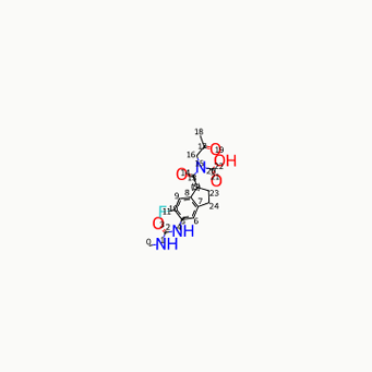 CNC(=O)Nc1cc2c(cc1F)[C@@H](C(=O)N(CC(C)=O)C(=O)O)CC2